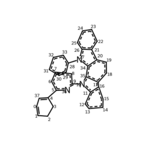 C1=CCCC(c2cccc(-n3c4ccccc4c4ccc5c6ccccc6n(-c6ccccc6)c5c43)n2)=C1